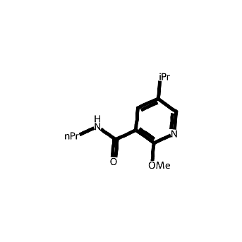 CCCNC(=O)c1cc(C(C)C)cnc1OC